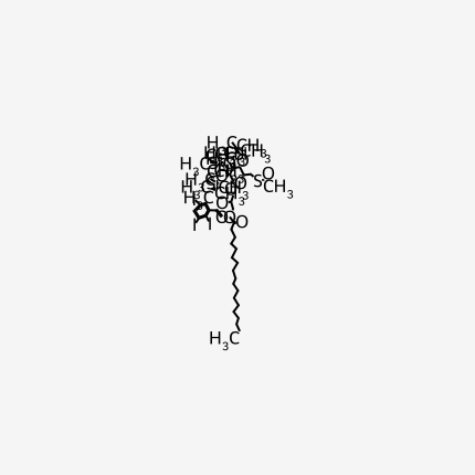 CCCCCCCCCCCCCCCCCC(=O)OCC(COC1OC(CSC(C)=O)C(O[Si](C)(C)C(C)(C)C)C(O[Si](C)(C)C(C)(C)C)C1O[Si](C)(C)C(C)(C)C)OC(=O)c1cc(I)cc(I)c1I